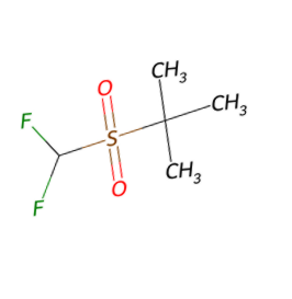 CC(C)(C)S(=O)(=O)C(F)F